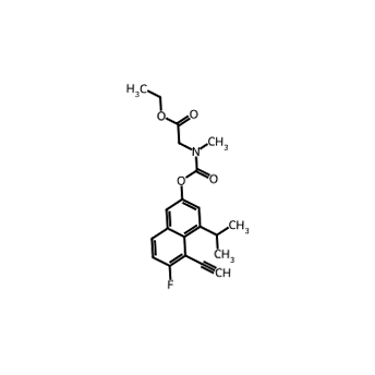 C#Cc1c(F)ccc2cc(OC(=O)N(C)CC(=O)OCC)cc(C(C)C)c12